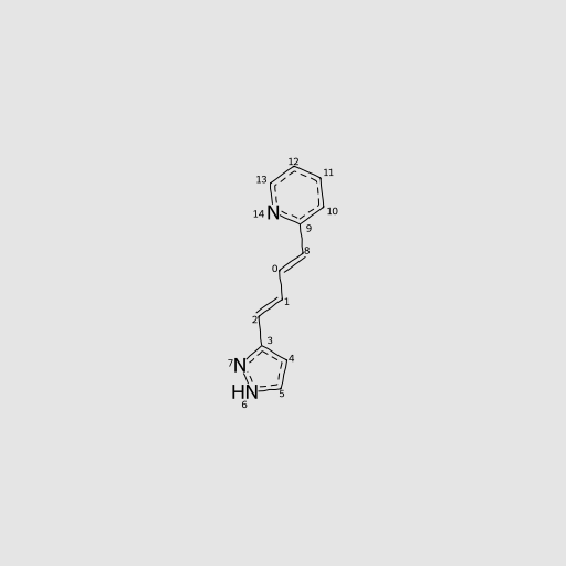 C(C=Cc1cc[nH]n1)=Cc1ccccn1